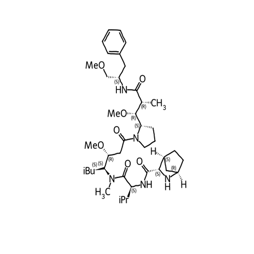 CC[C@H](C)[C@@H]([C@@H](CC(=O)N1CCC[C@H]1[C@H](OC)[C@@H](C)C(=O)N[C@H](COC)Cc1ccccc1)OC)N(C)C(=O)[C@@H](NC(=O)[C@H]1N[C@@H]2CC[C@H]1C2)C(C)C